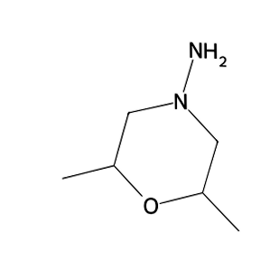 CC1CN(N)CC(C)O1